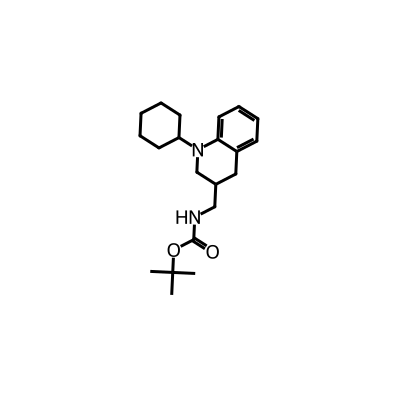 CC(C)(C)OC(=O)NCC1Cc2ccccc2N(C2CCCCC2)C1